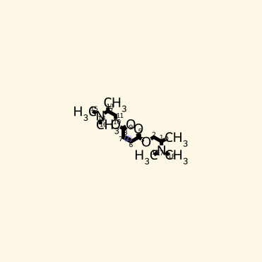 CC(COC(=O)/C=C\C(=O)OCC(C)N(C)C)N(C)C